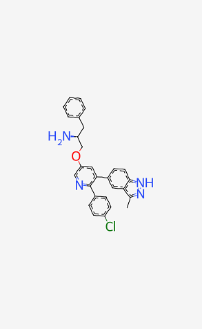 Cc1n[nH]c2ccc(-c3cc(OC[C@@H](N)Cc4ccccc4)cnc3-c3ccc(Cl)cc3)cc12